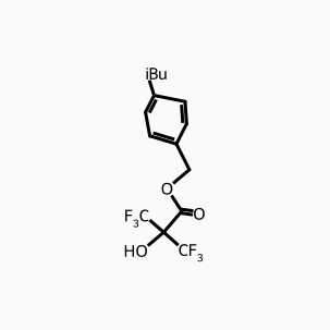 CCC(C)c1ccc(COC(=O)C(O)(C(F)(F)F)C(F)(F)F)cc1